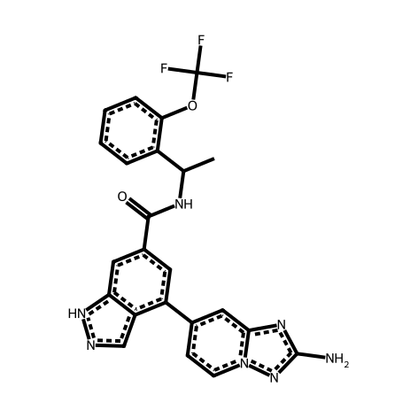 CC(NC(=O)c1cc(-c2ccn3nc(N)nc3c2)c2cn[nH]c2c1)c1ccccc1OC(F)(F)F